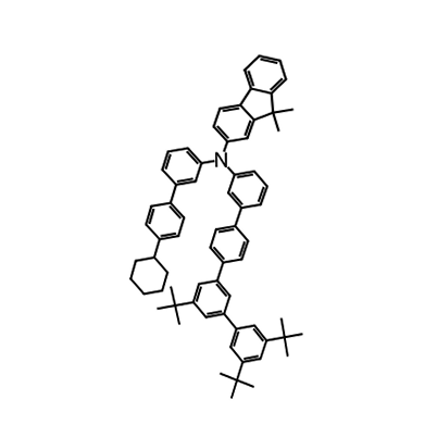 CC(C)(C)c1cc(-c2ccc(-c3cccc(N(c4cccc(-c5ccc(C6CCCCC6)cc5)c4)c4ccc5c(c4)C(C)(C)c4ccccc4-5)c3)cc2)cc(-c2cc(C(C)(C)C)cc(C(C)(C)C)c2)c1